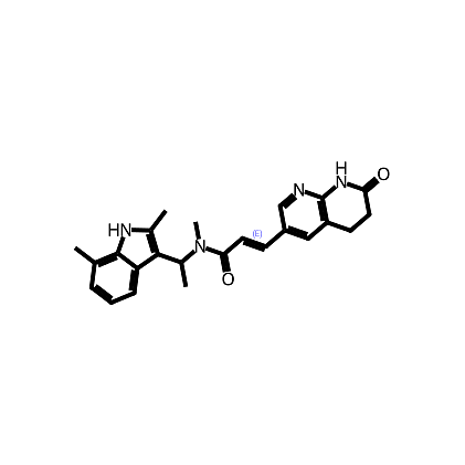 Cc1[nH]c2c(C)cccc2c1C(C)N(C)C(=O)/C=C/c1cnc2c(c1)CCC(=O)N2